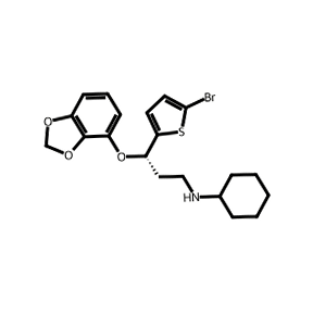 Brc1ccc([C@H](CCNC2CCCCC2)Oc2cccc3c2OCO3)s1